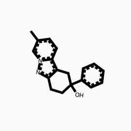 Cc1ccc2c3c(nn2c1)CCC(O)(c1ccccc1)C3